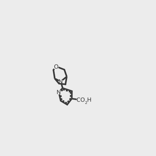 O=C(O)c1ccnc(N2C3CCC2COC3)c1